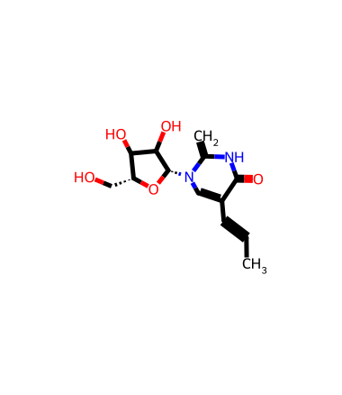 C=C1NC(=O)C(C#CC)=CN1[C@@H]1O[C@H](CO)C(O)C1O